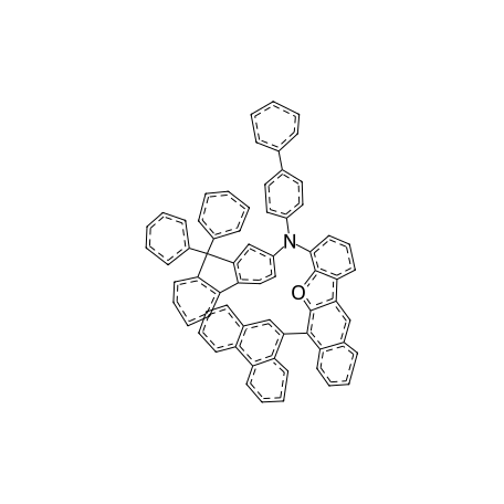 c1ccc(-c2ccc(N(c3ccc4c(c3)C(c3ccccc3)(c3ccccc3)c3ccccc3-4)c3cccc4c3oc3c(-c5cc6ccccc6c6ccccc56)c5ccccc5cc34)cc2)cc1